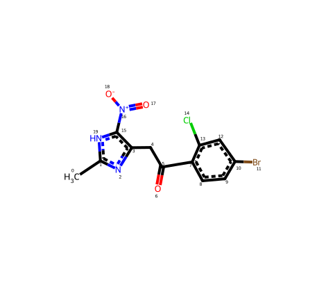 Cc1nc(CC(=O)c2ccc(Br)cc2Cl)c([N+](=O)[O-])[nH]1